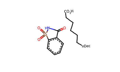 CCCCCCCCCCCCCCCC(=O)O.O=C1NS(=O)(=O)c2ccccc21